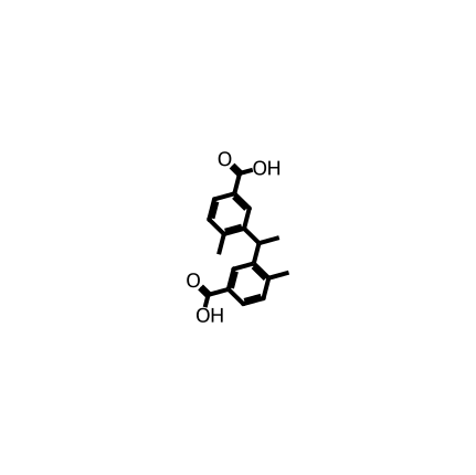 Cc1ccc(C(=O)O)cc1C(C)c1cc(C(=O)O)ccc1C